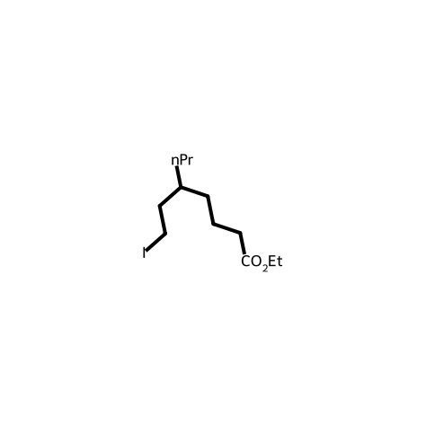 CCCC(CCI)CCCC(=O)OCC